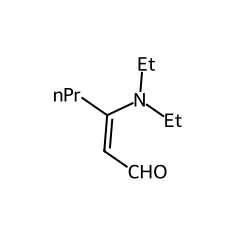 CCCC(=CC=O)N(CC)CC